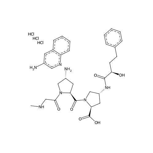 CNCC(=O)N1C[C@H](N)C[C@H]1C(=O)N1C[C@H](NC(=O)[C@H](O)CCc2ccccc2)C[C@H]1C(=O)O.Cl.Cl.Cl.Nc1cnc2ccccc2c1